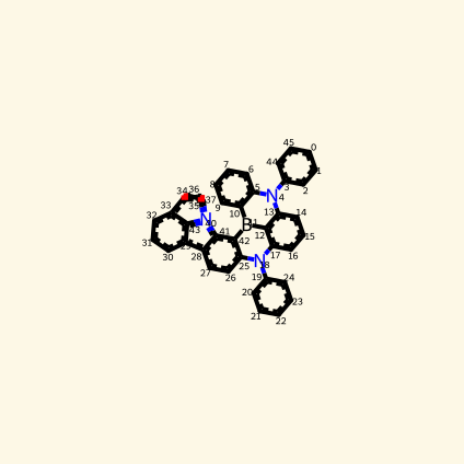 c1ccc(N2c3ccccc3B3c4c2cccc4N(c2ccccc2)c2ccc4c5cccc6c7ccccc7n(c4c23)c65)cc1